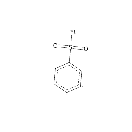 CCS(=O)(=O)c1c[c][c]cc1